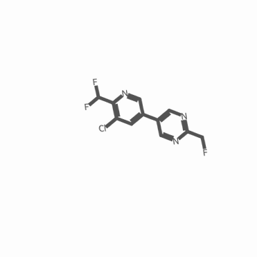 FCc1ncc(-c2cnc(C(F)F)c(Cl)c2)cn1